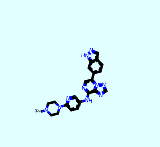 CC(C)N1CCN(c2ccc(Nc3ncc(-c4ccc5cn[nH]c5c4)n4ncnc34)cn2)CC1